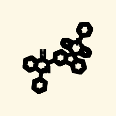 c1ccc(C2=NC(c3ccc4c(c3)-c3ccccc3C43c4ccccc4N(c4ccccc4)c4ccccc43)Nc3ccccc32)cc1